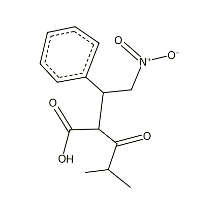 CC(C)C(=O)C(C(=O)O)C(C[N+](=O)[O-])c1ccccc1